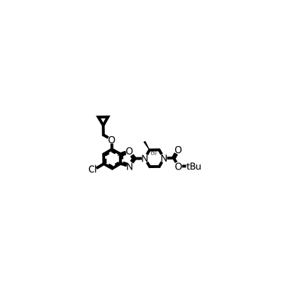 C[C@H]1CN(C(=O)OC(C)(C)C)CCN1c1nc2cc(Cl)cc(OCC3CC3)c2o1